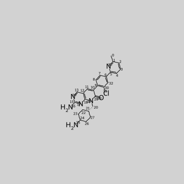 Cc1cccc(-c2ccc(-c3cc4cnc(N)nc4n(C[C@H]4CC[C@H](N)CC4)c3=O)c(Cl)c2)n1